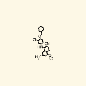 CCOc1cc(C)cc2c(Nc3ccc(OCc4ccccn4)c(Cl)c3)c(C#N)cnc12